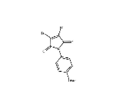 COc1ccc(N2C(=O)C(Br)=C(Br)C2=O)cc1